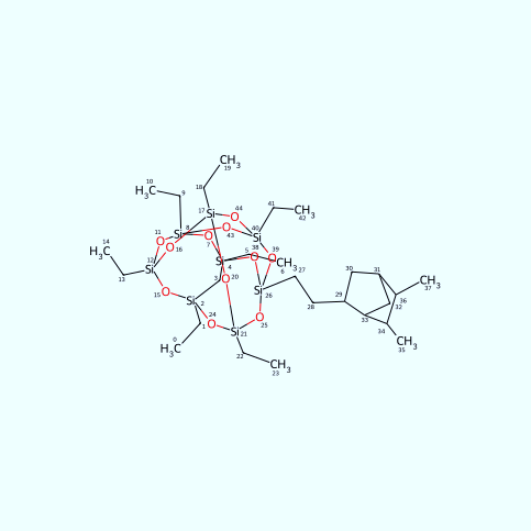 CC[Si]12C[Si]3(CC)O[Si]4(CC)O[Si](CC)(O1)O[Si]1(CC)O[Si](CC)(O2)O[Si](CCC2CC5CC2C(C)C5C)(O3)O[Si](CC)(O4)O1